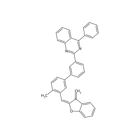 C=c1/c(=C\c2cc(-c3cccc(-c4nc(-c5ccccc5)c5ccccc5n4)c3)ccc2C)oc2ccccc12